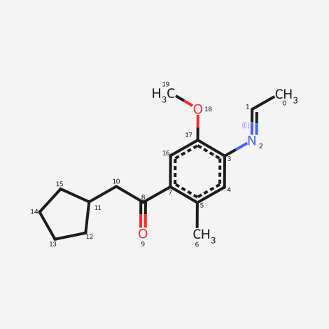 C/C=N/c1cc(C)c(C(=O)CC2CCCC2)cc1OC